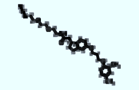 Cc1ccc(OCCCOc2ccc3c(c2)CC[C@H]3CC(=O)NCCOCCOCCN=[N+]=[N-])c(C)c1